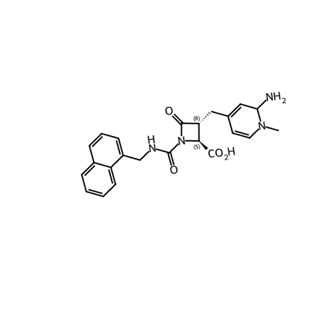 CN1C=CC(C[C@H]2C(=O)N(C(=O)NCc3cccc4ccccc34)[C@@H]2C(=O)O)=CC1N